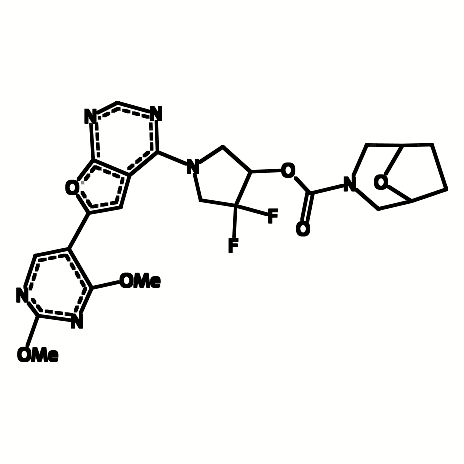 COc1ncc(-c2cc3c(N4CC(OC(=O)N5CC6CCC(C5)O6)C(F)(F)C4)ncnc3o2)c(OC)n1